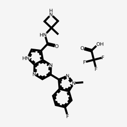 Cn1nc(-c2cnc3[nH]cc(C(=O)NC4(C)CNC4)c3n2)c2ccc(F)cc21.O=C(O)C(F)(F)F